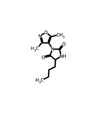 CCCCC1NC(=O)N(c2c(C)noc2C)C1=O